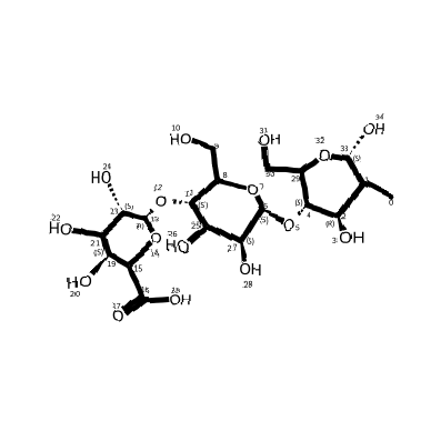 CC1[C@@H](O)[C@H](O[C@@H]2OC(CO)[C@@H](O[C@@H]3OC(C(=O)O)[C@@H](O)C(O)[C@@H]3O)C(O)[C@@H]2O)C(CO)O[C@@H]1O